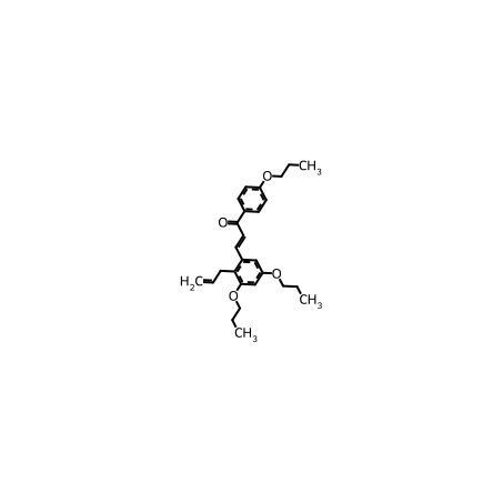 C=CCc1c(C=CC(=O)c2ccc(OCCC)cc2)cc(OCCC)cc1OCCC